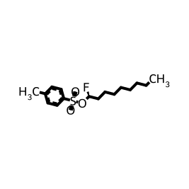 CCCCCCCC[C@H](F)OS(=O)(=O)c1ccc(C)cc1